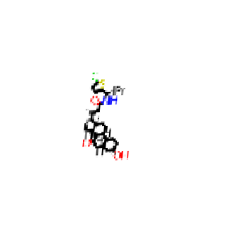 CC(C)[C@@H](NC(=O)C[C@@H](C)[C@H]1CC[C@H]2[C@@H]3C(=O)C[C@@H]4C[C@H](O)CC[C@]4(C)[C@H]3CC[C@]12C)c1ccc(Cl)s1